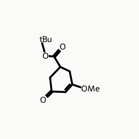 COC1=CC(=O)CC(C(=O)OC(C)(C)C)C1